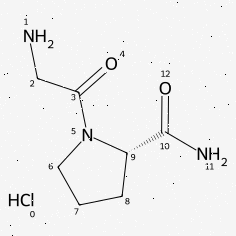 Cl.NCC(=O)N1CCC[C@H]1C(N)=O